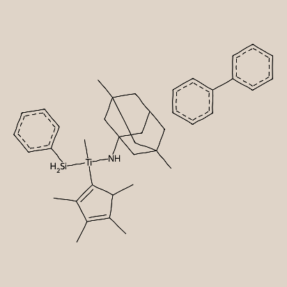 CC1=C(C)C(C)[C]([Ti]([CH3])([NH]C23CC4CC(C)(CC(C)(C4)C2)C3)[SiH2]c2ccccc2)=C1C.c1ccc(-c2ccccc2)cc1